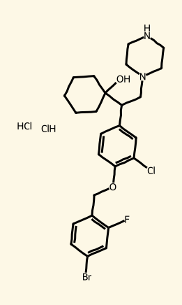 Cl.Cl.OC1(C(CN2CCNCC2)c2ccc(OCc3ccc(Br)cc3F)c(Cl)c2)CCCCC1